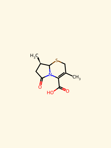 CC1=C(C(=O)O)N2C(=O)C[C@@H](C)C2SC1